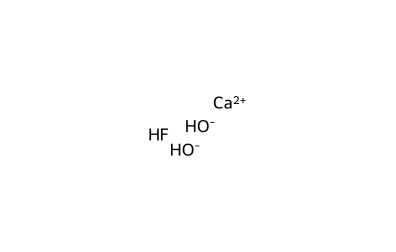 F.[Ca+2].[OH-].[OH-]